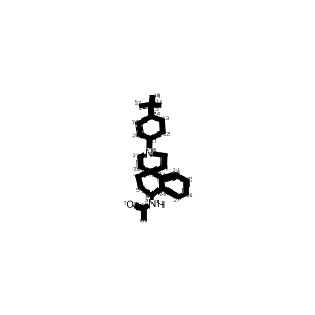 CC(=O)N[C@H]1CCC2(CCN(C3CCC(C(C)(C)C)CC3)CC2)c2ccccc21